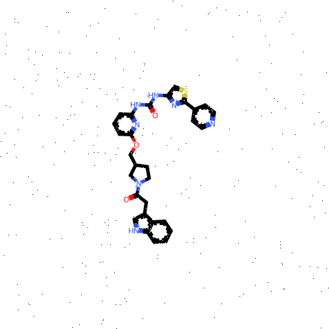 O=C(Nc1cccc(OCC2CCN(C(=O)Cc3c[nH]c4ccccc34)C2)n1)Nc1csc(-c2ccncc2)n1